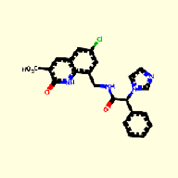 O=C(O)c1cc2cc(Cl)cc(CNC(=O)C(c3ccccc3)n3ccnc3)c2[nH]c1=O